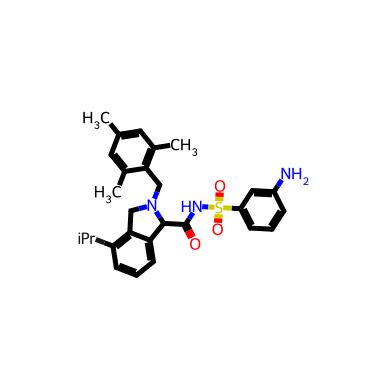 Cc1cc(C)c(CN2Cc3c(C(C)C)cccc3C2C(=O)NS(=O)(=O)c2cccc(N)c2)c(C)c1